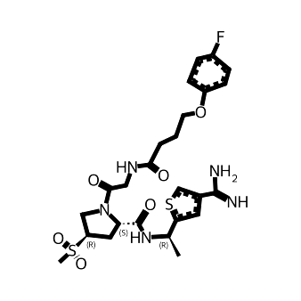 C[C@@H](NC(=O)[C@@H]1C[C@@H](S(C)(=O)=O)CN1C(=O)CNC(=O)CCCOc1ccc(F)cc1)c1cc(C(=N)N)cs1